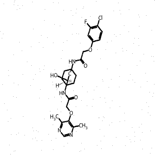 Cc1ncnc(C)c1OCC(=O)NC12CCC(NC(=O)COc3ccc(Cl)c(F)c3)(CC1)C[C@@H]2O